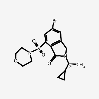 C[C@@H](C1CC1)N1Cc2cc(Br)cc(S(=O)(=O)N3CCOCC3)c2C1=O